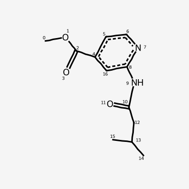 COC(=O)c1ccnc(NC(=O)CC(C)C)c1